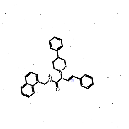 O=C(NCc1cccc2ccccc12)C(/C=C/c1ccccc1)N1CCC(c2ccccc2)CC1